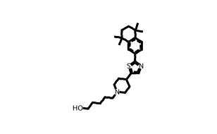 CC1(C)CCC(C)(C)c2cc(-c3ncc(C4CCN(CCCCCO)CC4)s3)ccc21